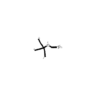 CC(C)(C)[O][Ti]